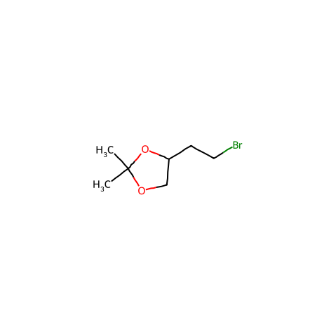 CC1(C)OCC(CCBr)O1